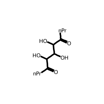 CCCC(=O)C(O)C(O)C(O)C(=O)CCC